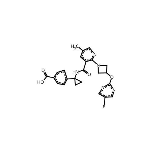 Cc1cnc(N2CC(Oc3ncc(F)cn3)C2)c(C(=O)NC2(c3ccc(C(=O)O)cc3)CC2)c1